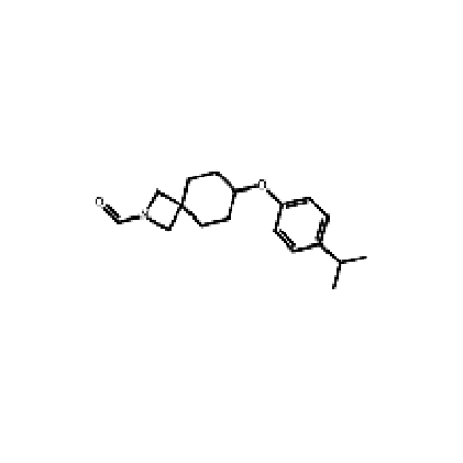 CC(C)c1ccc(OC2CCC3(CC2)CN(C=O)C3)cc1